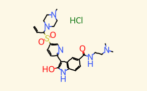 C=CC(N1CCN(C)CC1)S(=O)(=O)c1ccc(-c2c(O)[nH]c3ccc(C(=O)NCCN(C)C)cc23)nc1.Cl